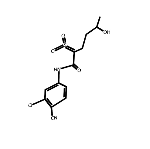 CC(O)CCC(C(=O)Nc1ccc(C#N)c(Cl)c1)=S(=O)=O